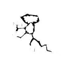 CCCCCC(CC)c1cc2ccccc2c(C(N)=O)c1CC